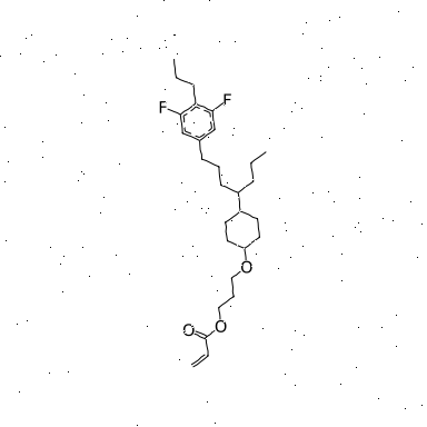 C=CC(=O)OCCCOC1CCC(C(CCC)CCCc2cc(F)c(CCC)c(F)c2)CC1